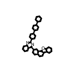 c1ccc(-c2ccc(-c3ccc(-c4nc(-c5ccc6ccc7c8ccccc8oc7c6c5)c5ccccc5n4)cc3)cc2)cc1